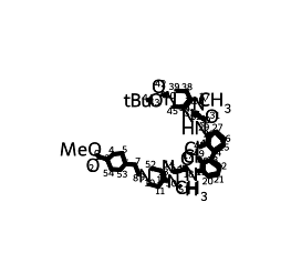 COC(=O)C1CCC(CCN2CCc3c(nc(C(=O)Nc4cccc(-c5cccc(NC(=O)c6nc7c(n6C)CCN(C(=O)OC(C)(C)C)C7)c5Cl)c4Cl)n3C)C2)CC1